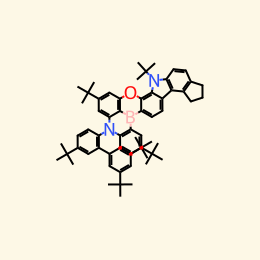 CC(C)(C)c1cc(-c2cc(C(C)(C)C)ccc2N2c3ccc(C(C)(C)C)cc3B3c4ccc5c6c7c(ccc6n(C(C)(C)C)c5c4Oc4cc(C(C)(C)C)cc2c43)CCC7)cc(C(C)(C)C)c1